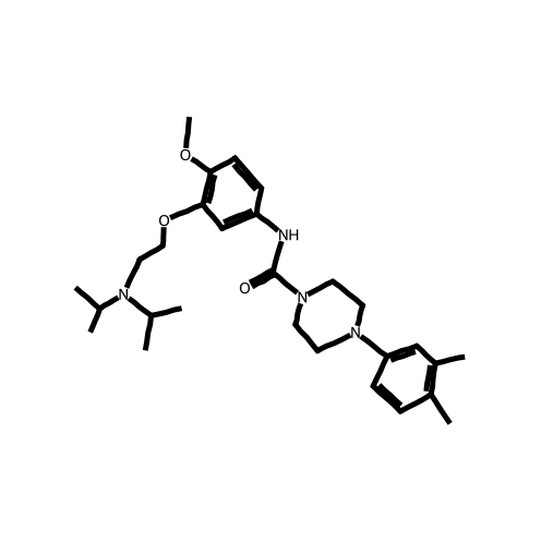 COc1ccc(NC(=O)N2CCN(c3ccc(C)c(C)c3)CC2)cc1OCCN(C(C)C)C(C)C